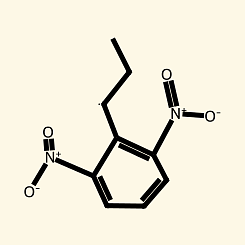 CC[CH]c1c([N+](=O)[O-])cccc1[N+](=O)[O-]